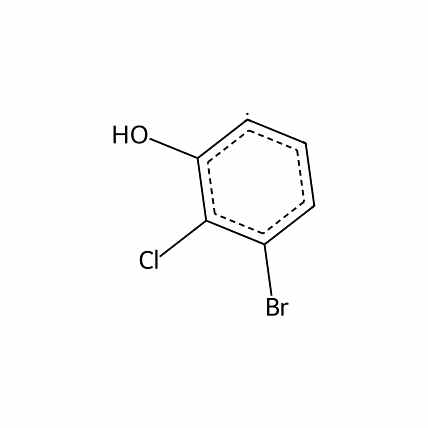 Oc1[c]ccc(Br)c1Cl